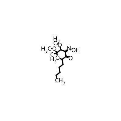 CCCCCC1OC(C)(OC)C(OC)C(=NO)C1=O